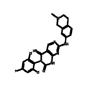 CN1CCc2ccc(Nc3ncc4c(=N)n(-c5c(Cl)cc(F)cc5Cl)c(=O)[nH]c4n3)cc2C1